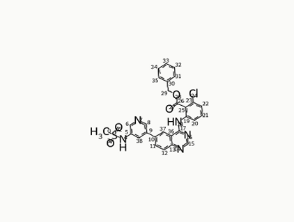 CS(=O)(=O)Nc1cncc(-c2ccc3ncnc(Nc4cccc(Cl)c4C(=O)OCc4ccccc4)c3c2)c1